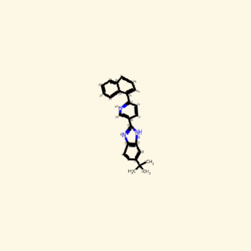 CC(C)(C)c1ccc2nc(-c3ccc(-c4cccc5ccccc45)nc3)[nH]c2c1